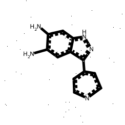 Nc1cc2[nH]nc(-c3ccncc3)c2cc1N